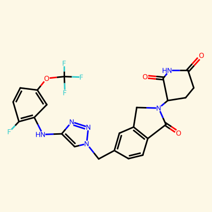 O=C1CCC(N2Cc3cc(Cn4cc(Nc5cc(OC(F)(F)F)ccc5F)nn4)ccc3C2=O)C(=O)N1